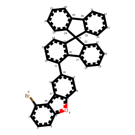 Brc1cccc2oc3ccc(-c4cccc5c4-c4ccccc4C54c5ccccc5-c5ccccc54)cc3c12